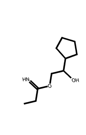 CCC(=N)OCC(O)C1CCCC1